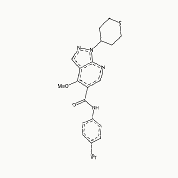 COc1c(C(=O)Nc2ccc(C(C)C)cc2)cnc2c1cnn2C1CCSCC1